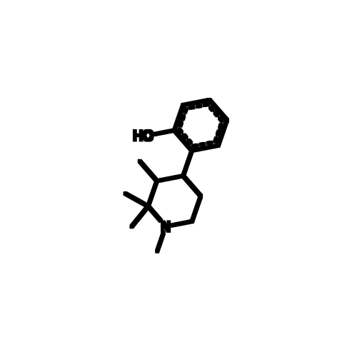 CC1C(c2ccccc2O)CCN(C)C1(C)C